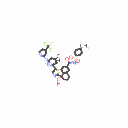 Cc1ccc(S(=O)(=O)NC(=O)c2ccc3c(c2)CCCC3(O)c2ncc(-c3cc(C)cc(Nc4cc(C(F)(F)F)ccn4)n3)s2)cc1